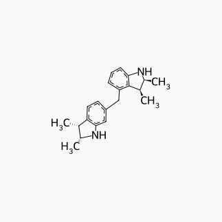 C[C@@H]1Nc2cccc(Cc3ccc4c(c3)N[C@H](C)[C@@H]4C)c2[C@@H]1C